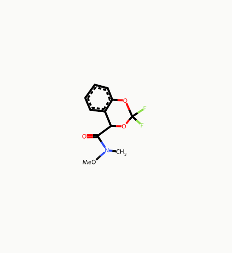 CON(C)C(=O)C1OC(F)(F)Oc2ccccc21